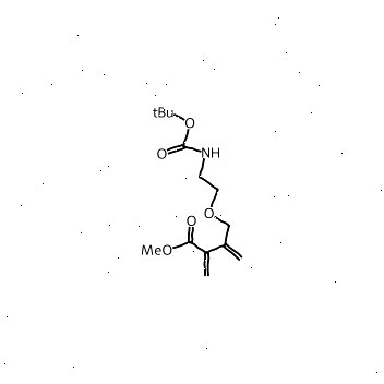 C=C(COCCNC(=O)OC(C)(C)C)C(=C)C(=O)OC